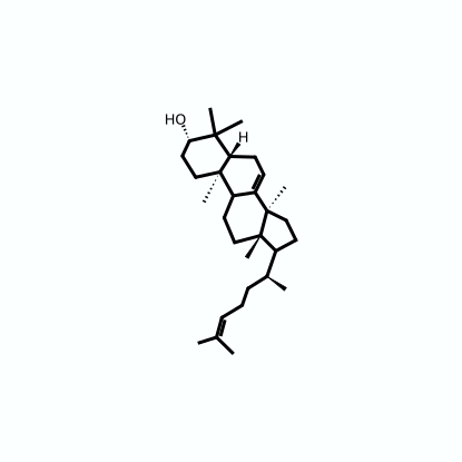 CC(C)=CCC[C@H](C)C1CC[C@]2(C)C3=CC[C@H]4C(C)(C)[C@@H](O)CC[C@]4(C)C3CC[C@@]12C